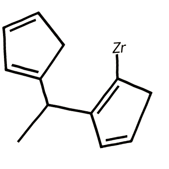 CC(C1=CC=CC1)C1=[C]([Zr])CC=C1